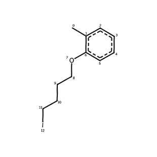 Cc1ccccc1OCCCCI